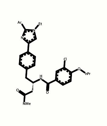 CCCOc1ccc(C(=O)N[C@H](CC(=O)NC)Cc2ccc(-c3cn(CC)c(C(C)=O)n3)cc2)cc1Cl